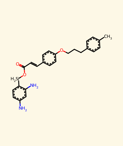 Cc1ccc(CCCOc2ccc(/C=C/C(=O)O[SiH2]c3ccc(N)cc3N)cc2)cc1